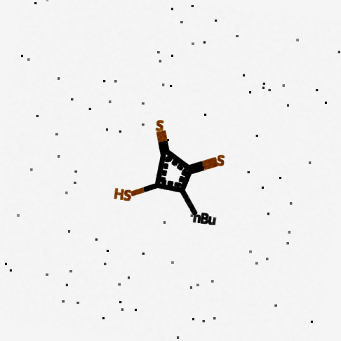 CCCCc1c(S)c(=S)c1=S